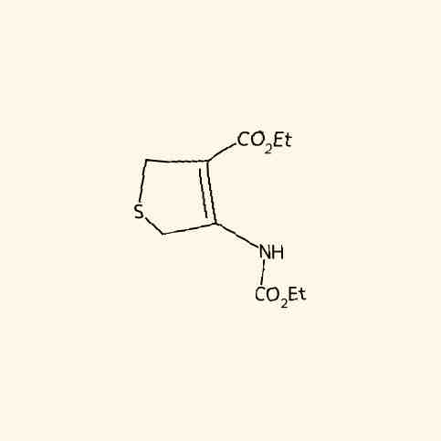 CCOC(=O)NC1=C(C(=O)OCC)CSC1